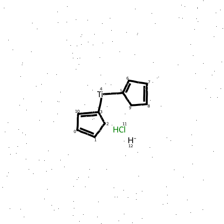 C1=CC[C]([Ti][C]2=CC=CC2)=C1.Cl.[H-]